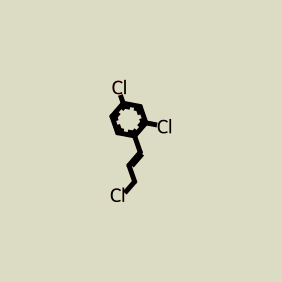 ClC/C=C/c1ccc(Cl)cc1Cl